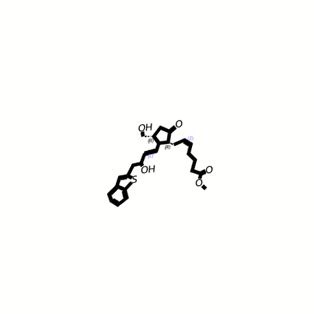 COC(=O)CCC/C=C\C[C@H]1C(=O)C[C@@H](CO)C1/C=C/C(O)Cc1cc2ccccc2s1